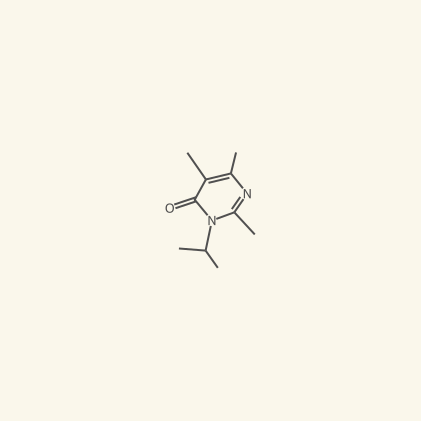 Cc1nc(C)n(C(C)C)c(=O)c1C